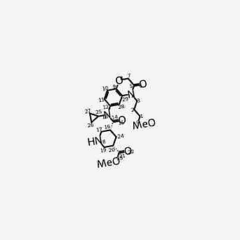 COCCCN1C(=O)COc2ccc(N(C(=O)[C@H]3CNC[C@@H](C(=O)OC)C3)C3CC3)cc21